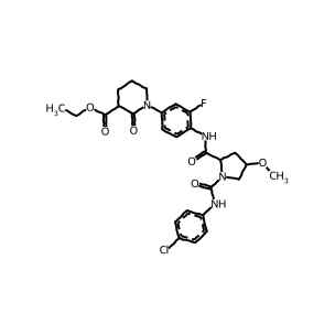 CCOC(=O)C1CCCN(c2ccc(NC(=O)C3CC(OC)CN3C(=O)Nc3ccc(Cl)cc3)c(F)c2)C1=O